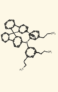 CCCc1cccc(N(c2cc(CCC)cc(CCC)c2)c2ccc3c(c2)C2(c4ccccc4-c4ccc(C#N)cc42)c2ccccc2-3)c1